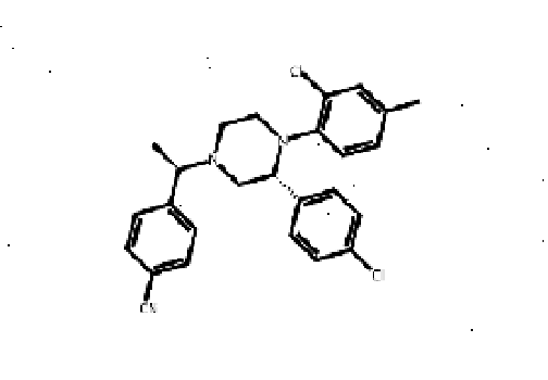 Cc1ccc(N2CCN([C@H](C)c3ccc(C#N)cc3)C[C@H]2c2ccc(Cl)cc2)c(Cl)c1